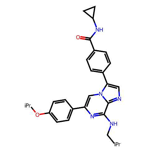 CC(C)CNc1nc(-c2ccc(OC(C)C)cc2)cn2c(-c3ccc(C(=O)NC4CC4)cc3)cnc12